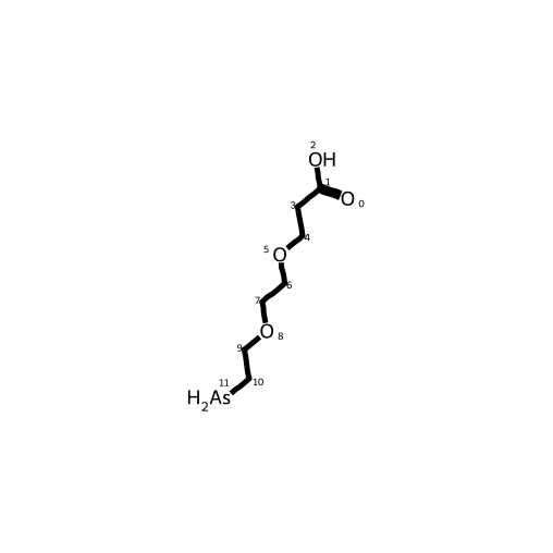 O=C(O)CCOCCOCC[AsH2]